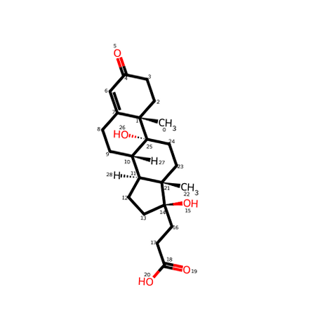 C[C@]12CCC(=O)C=C1CC[C@H]1[C@@H]3CC[C@@](O)(CCC(=O)O)[C@@]3(C)CC[C@@]12O